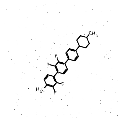 Cc1ccc(-c2ccc(-c3ccc(C4CCC(C)CC4)cc3)c(F)c2F)c(F)c1F